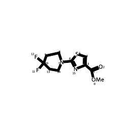 COC(=O)c1csc(N2CCC(F)(F)CC2)n1